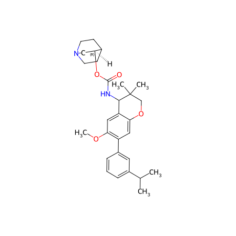 COc1cc2c(cc1-c1cccc(C(C)C)c1)OCC(C)(C)C2NC(=O)O[C@H]1CN2CCC1CC2